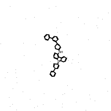 C1=CCC2C(=C1)c1c(NC3=CC=C(c4cccc(-c5ccccc5)c4)CC3)cccc1N2C1C=CC(c2ccccc2)C=C1